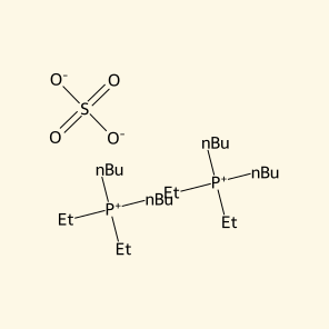 CCCC[P+](CC)(CC)CCCC.CCCC[P+](CC)(CC)CCCC.O=S(=O)([O-])[O-]